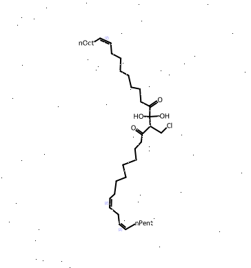 CCCCC/C=C\C/C=C\CCCCCCCC(=O)C(CCl)C(O)(O)C(=O)CCCCCCC/C=C\CCCCCCCC